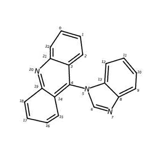 c1ccc2c(-n3cnc4ccccc43)c3ccccc3nc2c1